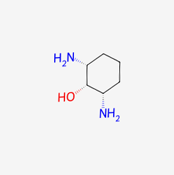 N[C@@H]1CCC[C@H](N)[C@@H]1O